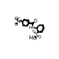 O=C(Nc1ccccc1S(=O)(=O)O)c1ccc([N+](=O)[O-])cc1